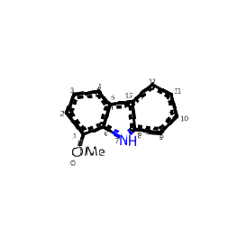 COc1cccc2c1[nH]c1ccccc12